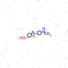 CNc1ccc(-c2nc3ccc(CO)cc3s2)cc1